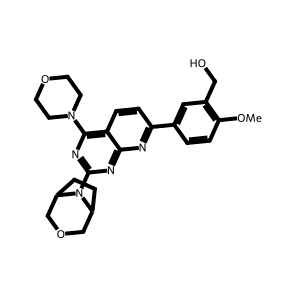 COc1ccc(-c2ccc3c(N4CCOCC4)nc(N4C5CCC4COC5)nc3n2)cc1CO